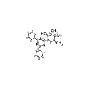 C=C1C=C(c2nc(-c3ccccc3)nc(-c3ccccc3)n2)C(O)=C(C)C1O